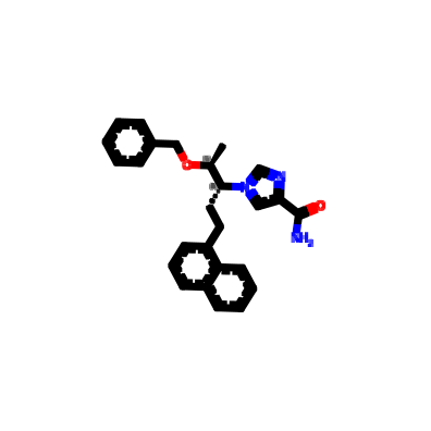 C[C@H](OCc1ccccc1)[C@@H](CCc1cccc2ccccc12)n1cnc(C(N)=O)c1